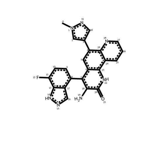 Cn1cc(-c2cc3c(-c4ccc(F)c5[nH]ncc45)c(N)c(=O)[nH]c3c3cccnc23)cn1